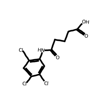 O=C(O)CCCC(=O)Nc1cc(Cl)c(Cl)cc1Cl